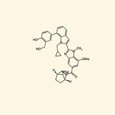 COc1cc(C(=O)N2C[C@H]3CC[C@@H]2[C@@H]3N)cc2nc(-c3cc4cccc(-c5ccc(O)c(CO)c5)c4n3CC3CC3)n(C)c12